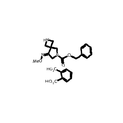 CON=C1CN(C(=O)OCc2ccccc2)CC12CNC2.O=C(O)c1ccccc1C(=O)O